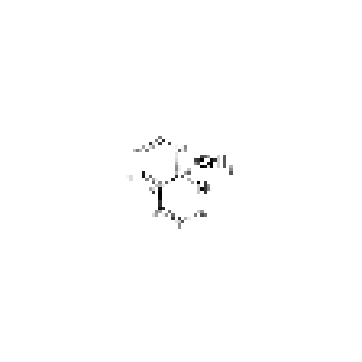 [SrH2].c1ccc2ncccc2c1